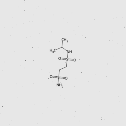 CC(C)NS(=O)(=O)CCS(N)(=O)=O